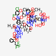 C#CC(C)Oc1cc(N2C(=O)C3=C(CCCC3)C2=O)c(F)cc1Cl.CCS(=O)(=O)c1cccnc1S(=O)(=O)NC(=O)Nc1nc(OC)cc(OC)n1.COc1nc(C)nc(NC(=O)NS(=O)(=O)c2ccccc2CCC(F)(F)F)n1.C[S+](C)C.O=C(O)CNCP(=O)([O-])O